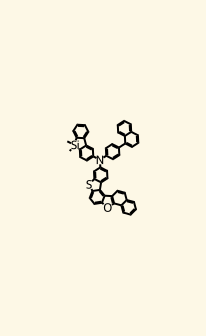 C[Si]1(C)c2ccccc2-c2cc(N(c3ccc(-c4cccc5ccccc45)cc3)c3ccc4c(c3)sc3ccc5oc6c7ccccc7ccc6c5c34)ccc21